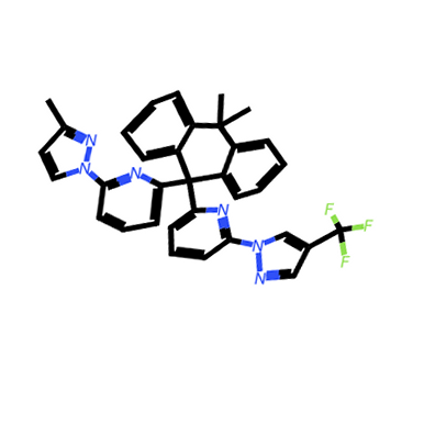 Cc1ccn(-c2cccc(C3(c4cccc(-n5cc(C(F)(F)F)cn5)n4)c4ccccc4C(C)(C)c4ccccc43)n2)n1